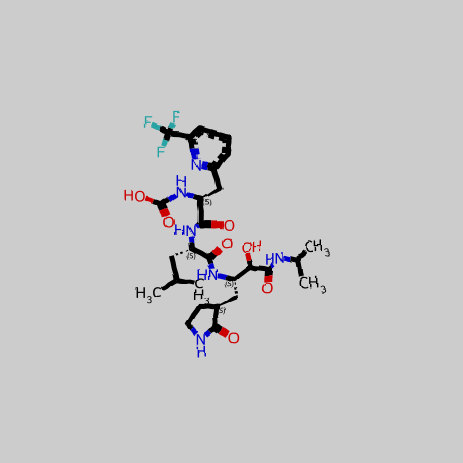 CC(C)C[C@H](NC(=O)[C@H](Cc1cccc(C(F)(F)F)n1)NC(=O)O)C(=O)N[C@@H](C[C@@H]1CCNC1=O)C(O)C(=O)NC(C)C